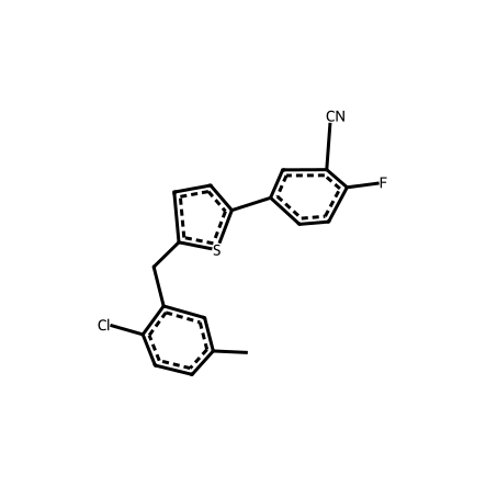 Cc1ccc(Cl)c(Cc2ccc(-c3ccc(F)c(C#N)c3)s2)c1